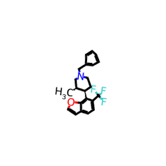 C[C@H]1CN(Cc2ccccc2)CC[C@H]1c1c(C(F)(F)F)ccc2ccoc12